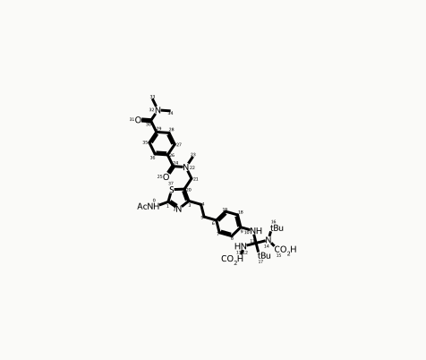 CC(=O)Nc1nc(CCc2ccc(NC(NC(=O)O)(N(C(=O)O)C(C)(C)C)C(C)(C)C)cc2)c(CN(C)C(=O)c2ccc(C(=O)N(C)C)cc2)s1